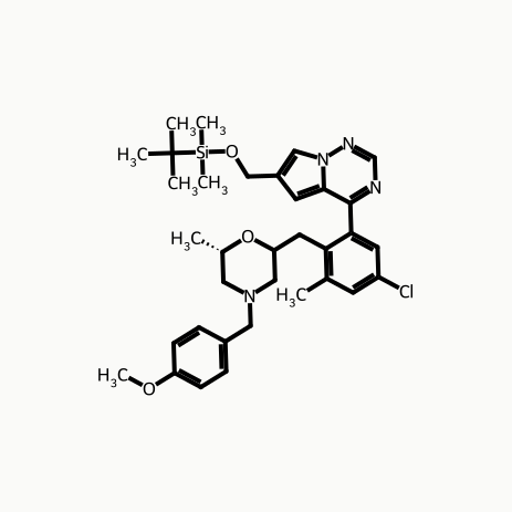 COc1ccc(CN2CC(Cc3c(C)cc(Cl)cc3-c3ncnn4cc(CO[Si](C)(C)C(C)(C)C)cc34)O[C@@H](C)C2)cc1